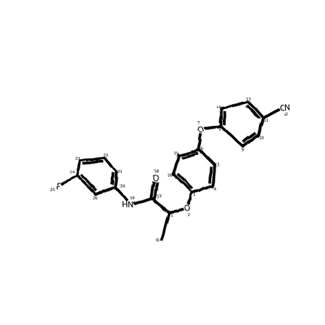 CC(Oc1ccc(Oc2ccc(C#N)cc2)cc1)C(=O)Nc1cccc(F)c1